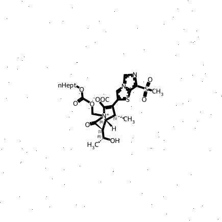 CCCCCCCOC(=O)OC[N+]12C(=O)[C@H]([C@@H](C)O)[C@H]1[C@@H](C)C(c1cn3cnc(S(C)(=O)=O)c3s1)=C2C(=O)[O-]